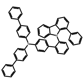 c1ccc(-c2ccc(N(c3ccc(-c4ccccc4)cc3)c3ccc(-c4ccccc4-n4c5ccccc5c5cccc(-c6ccccc6)c54)cc3)cc2)cc1